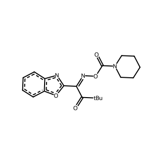 CC(C)(C)C(=O)/C(=N\OC(=O)N1CCCCC1)c1nc2ccccc2o1